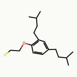 CC(C)CCc1ccc(OCC[S])c(CCC(C)C)c1